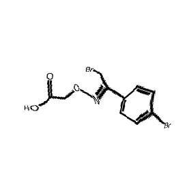 O=C(O)CON=C(CBr)c1ccc(Br)cc1